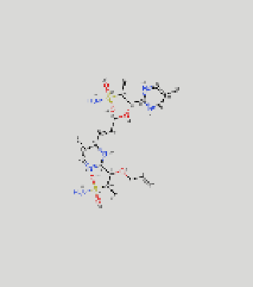 C=CCO[C@H](c1ncc(C)c(/C=C/CO[C@@H](c2ncc(C)cn2)[C@H](C)S(N)(=O)=O)n1)[C@@H](C)S(N)(=O)=O